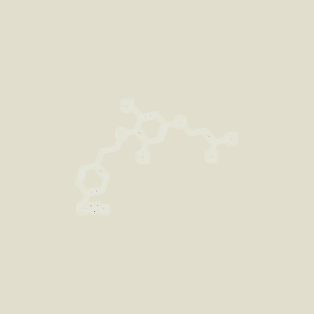 COc1ccc(CCOc2c(Cl)cc(OCC=C(Cl)Cl)cc2Cl)cc1